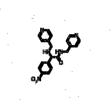 O=C(NCc1ccncc1)C(NCc1ccncc1)c1ccc([N+](=O)[O-])cc1